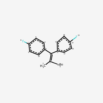 CCCCC(C)=C(c1ccc(F)cc1)c1ccc(F)cc1